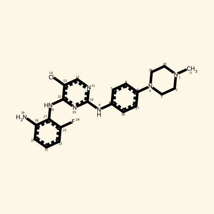 CN1CCN(c2ccc(Nc3ncc(Cl)c(Nc4c(N)cccc4F)n3)cc2)CC1